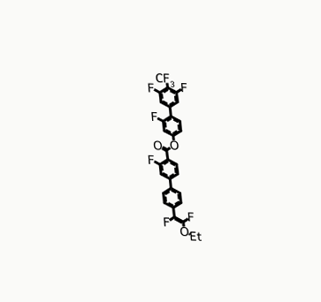 CCO/C(F)=C(\F)c1ccc(-c2ccc(C(=O)Oc3ccc(-c4cc(F)c(C(F)(F)F)c(F)c4)c(F)c3)c(F)c2)cc1